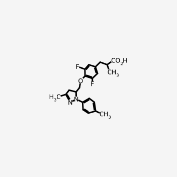 CC1=NN(c2ccc(C)cc2)C(COc2c(F)cc(CC(C)C(=O)O)cc2F)C1